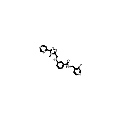 Cn1c(CNc2cccc(C(=O)NCc3ccncc3Br)c2)nnc1-c1ccncn1